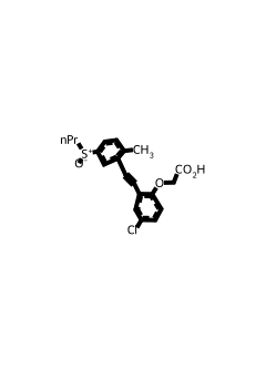 CCC[S+]([O-])c1ccc(C)c(C#Cc2cc(Cl)ccc2OCC(=O)O)c1